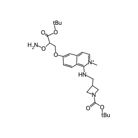 C[n+]1ccc2cc(OCC(ON)C(=O)OC(C)(C)C)ccc2c1NCC1CN(C(=O)OC(C)(C)C)C1